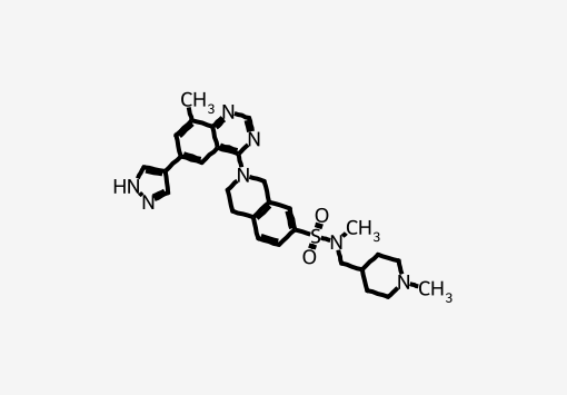 Cc1cc(-c2cn[nH]c2)cc2c(N3CCc4ccc(S(=O)(=O)N(C)CC5CCN(C)CC5)cc4C3)ncnc12